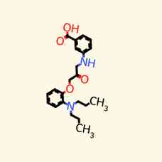 CCCN(CCC)c1ccccc1OCC(=O)CNc1cccc(C(=O)O)c1